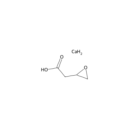 O=C(O)CC1CO1.[CaH2]